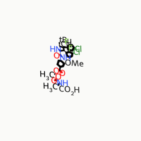 COc1cc(C(=O)OC(C)OC(=O)N[C@@H](C)C(=O)O)ccc1NC(=O)[C@@H]1N[C@@H](CC(C)(C)C)[C@](C#N)(c2ccc(Cl)cc2F)[C@H]1c1cccc(Cl)c1F